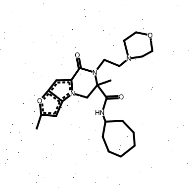 Cc1cc2c(cc3n2CC(C)(C(=O)NC2CCCCCC2)N(CCN2CCOCC2)C3=O)o1